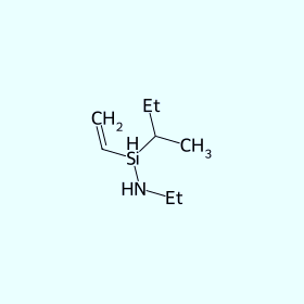 C=C[SiH](NCC)C(C)CC